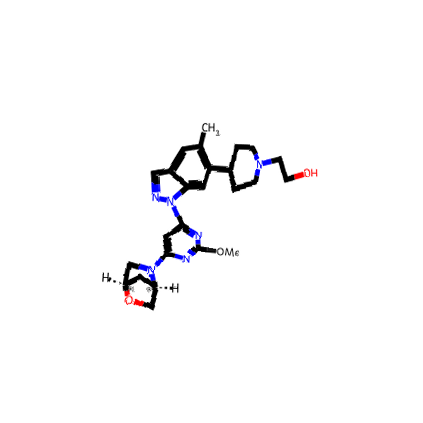 COc1nc(N2C[C@H]3C[C@@H]2CO3)cc(-n2ncc3cc(C)c(C4CCN(CCO)CC4)cc32)n1